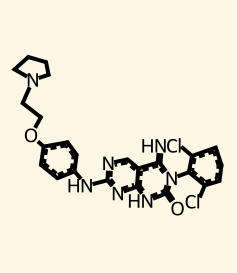 N=c1c2cnc(Nc3ccc(OCCN4CCCC4)cc3)nc2[nH]c(=O)n1-c1c(Cl)cccc1Cl